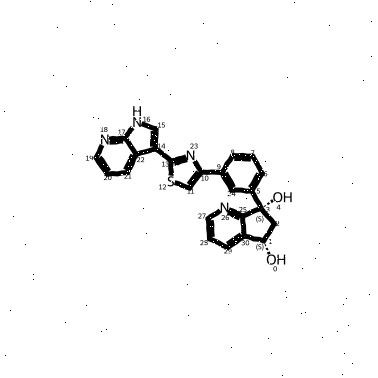 O[C@H]1C[C@](O)(c2cccc(-c3csc(-c4c[nH]c5ncccc45)n3)c2)c2ncccc21